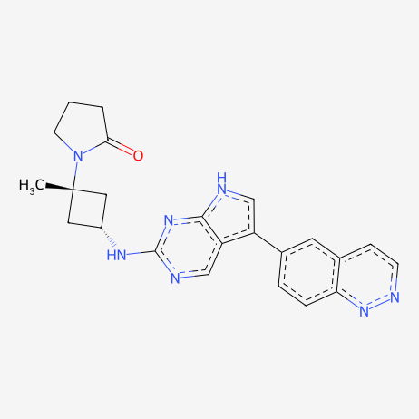 C[C@]1(N2CCCC2=O)C[C@@H](Nc2ncc3c(-c4ccc5nnccc5c4)c[nH]c3n2)C1